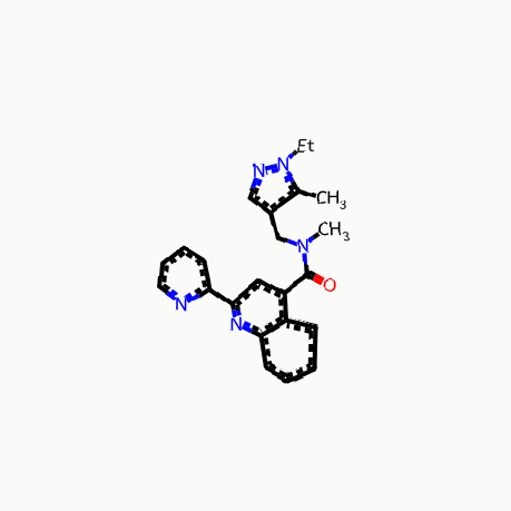 CCn1ncc(CN(C)C(=O)c2cc(-c3ccccn3)nc3ccccc23)c1C